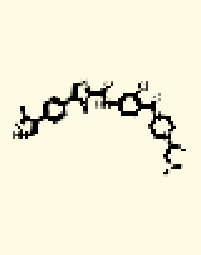 Cc1n[nH]cc1-c1ccc(-c2cnc(C(=O)Nc3ccc(C(=O)N4CCN(C(=O)CN(C)C)CC4)c(Cl)c3)n2C)cc1